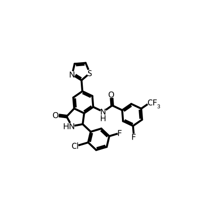 O=C(Nc1cc(-c2nccs2)cc2c1C(c1cc(F)ccc1Cl)NC2=O)c1cc(F)cc(C(F)(F)F)c1